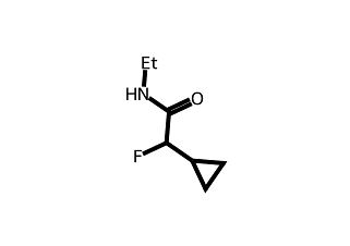 CCNC(=O)C(F)C1CC1